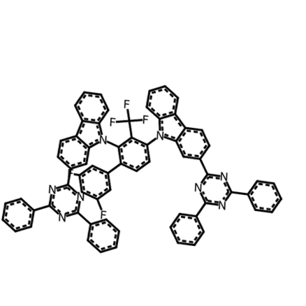 Fc1cc(F)cc(-c2ccc(-n3c4ccccc4c4ccc(-c5nc(-c6ccccc6)nc(-c6ccccc6)n5)cc43)c(C(F)(F)F)c2-n2c3ccccc3c3ccc(-c4nc(-c5ccccc5)nc(-c5ccccc5)n4)cc32)c1